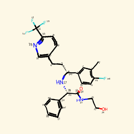 Cc1cc([C@@H](CCc2ccc(C(F)(F)F)nc2)N[C@H](C(=O)NCCO)c2ccccc2)ccc1F